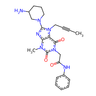 CC#CCn1c(N2CCCC(N)C2)nc2c1c(=O)n(CC(=O)Nc1ccccc1)c(=O)n2C